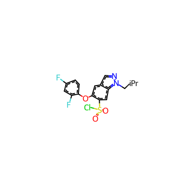 CC(C)Cn1ncc2cc(Oc3ccc(F)cc3F)c(S(=O)(=O)Cl)cc21